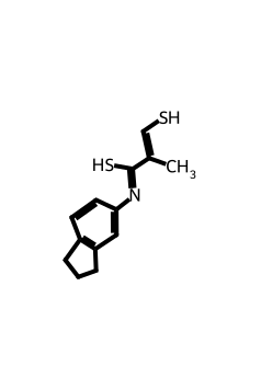 CC(=C\S)/C(S)=N/c1ccc2c(c1)CCC2